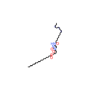 CCC=CCC=CCC=CCCCCCCCC(=O)OC[C@@H]1CC[C@@H](n2ccc(NC(=O)CCCCCCC/C=C\C/C=C\C/C=C\CC)nc2=O)O1